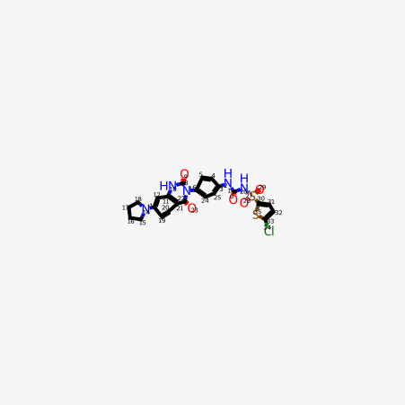 O=C(Nc1ccc(-n2c(=O)[nH]c3cc(N4CCCC4)ccc3c2=O)cc1)NS(=O)(=O)c1ccc(Cl)s1